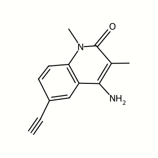 C#Cc1ccc2c(c1)c(N)c(C)c(=O)n2C